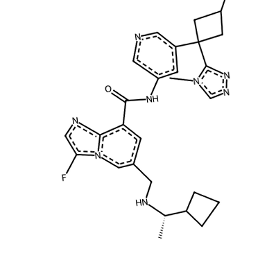 CC1CC(c2cncc(NC(=O)c3cc(CN[C@@H](C)C4CCC4)cn4c(F)cnc34)c2)(c2nncn2C)C1